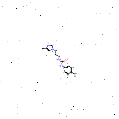 Cc1cn(CCCNC(=O)Nc2ccc(Cl)cc2)cn1